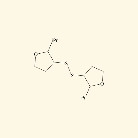 CC(C)C1OCCC1SSC1CCOC1C(C)C